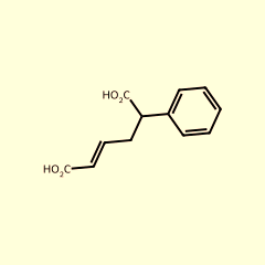 O=C(O)C=CCC(C(=O)O)c1ccccc1